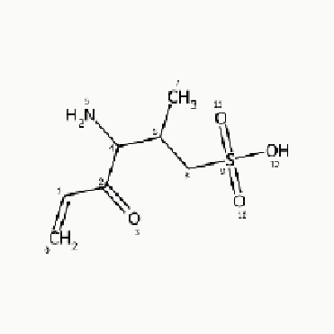 C=CC(=O)C(N)C(C)CS(=O)(=O)O